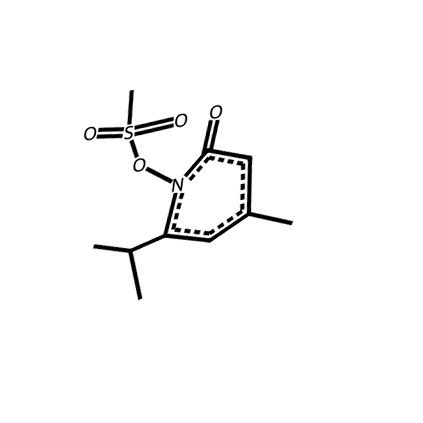 Cc1cc(C(C)C)n(OS(C)(=O)=O)c(=O)c1